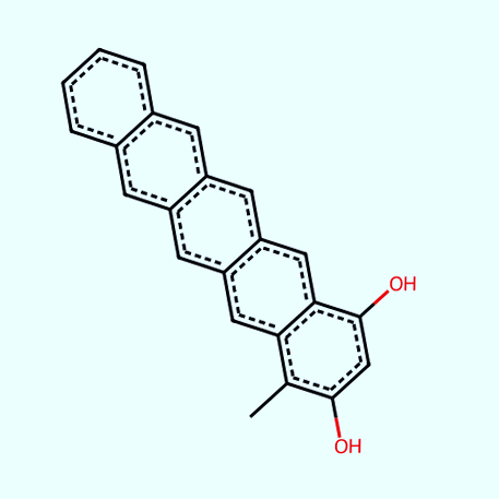 Cc1c(O)cc(O)c2cc3cc4cc5ccccc5cc4cc3cc12